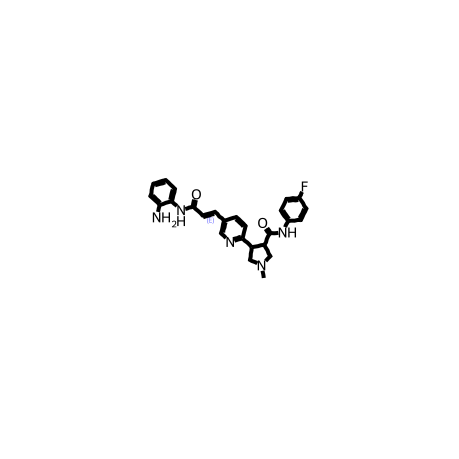 CN1CC(C(=O)Nc2ccc(F)cc2)C(c2ccc(/C=C/C(=O)Nc3ccccc3N)cn2)C1